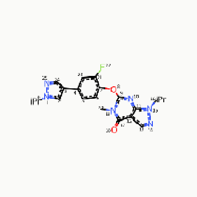 CC(C)n1cc(-c2ccc(Oc3nc4c(cnn4C(C)C)c(=O)n3C)c(F)c2)cn1